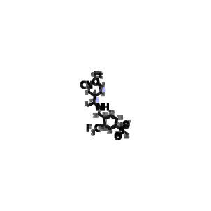 CCO/C=C\C(CC#N)=C(\C)NCc1ccc(S(C)(=O)=O)cc1C(F)(F)F